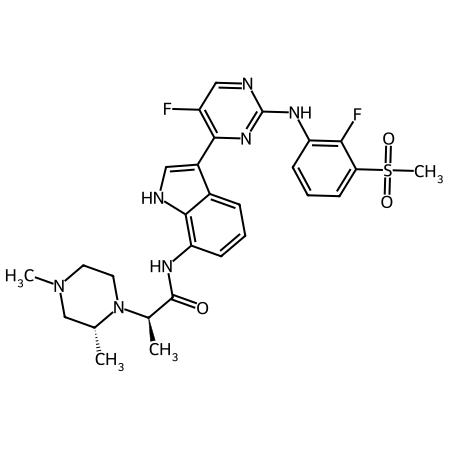 C[C@@H]1CN(C)CCN1[C@H](C)C(=O)Nc1cccc2c(-c3nc(Nc4cccc(S(C)(=O)=O)c4F)ncc3F)c[nH]c12